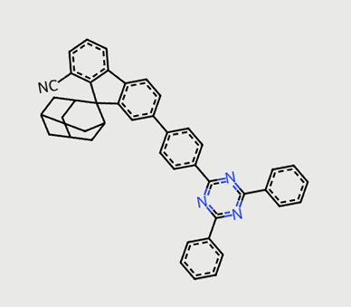 N#Cc1cccc2c1C1(c3cc(-c4ccc(-c5nc(-c6ccccc6)nc(-c6ccccc6)n5)cc4)ccc3-2)C2CC3CC(C2)CC1C3